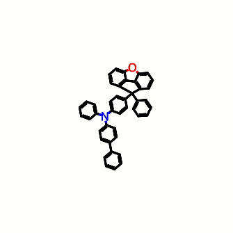 c1ccc(-c2ccc(N(c3ccccc3)c3ccc(C4(c5ccccc5)c5cccc6oc7cccc4c7c56)cc3)cc2)cc1